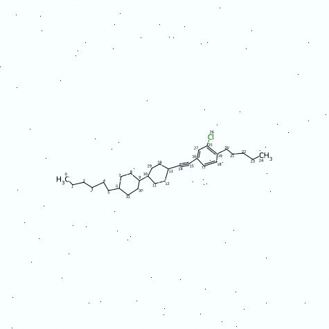 CCCCCCC1CCC(C2CCC(C#Cc3ccc(CCCCC)c(Cl)c3)CC2)CC1